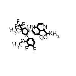 COc1c([C@@H]2C[C@](C)(C(F)(F)F)C[C@H]2c2cc(=O)c3c(C(N)=O)nccc3[nH]2)ccc(F)c1F